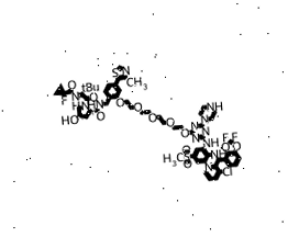 Cc1ncsc1-c1ccc(CNC(=O)[C@@H]2C[C@@H](O)CN2C(=O)[C@@H](NC(=O)C2(F)CC2)C(C)(C)C)c(OCCOCCOCCOCCOc2nc(Nc3cc(S(C)(=O)=O)ccc3N[C@@H](c3cccc4c3OC(F)(F)O4)c3ncccc3Cl)nc(N3CCNCC3)n2)c1